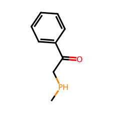 CPCC(=O)c1ccccc1